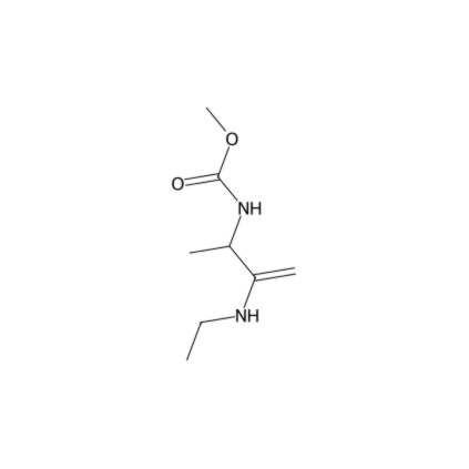 C=C(NCC)C(C)NC(=O)OC